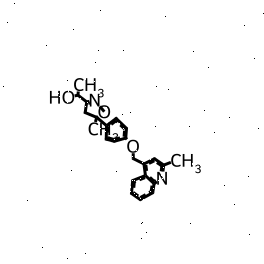 Cc1cc(COc2ccc(C3(C)CC(C(C)O)=NO3)cc2)c2ccccc2n1